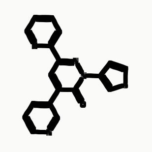 O=c1c(-c2cccnc2)cc(-c2ccccn2)nn1-c1ccsc1